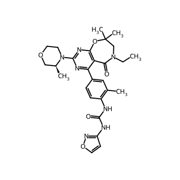 CCN1CC(C)(C)Oc2nc(N3CCOC[C@@H]3C)nc(-c3ccc(NC(=O)Nc4ccon4)c(C)c3)c2C1=O